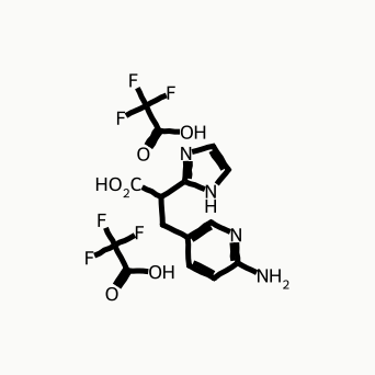 Nc1ccc(CC(C(=O)O)c2ncc[nH]2)cn1.O=C(O)C(F)(F)F.O=C(O)C(F)(F)F